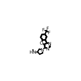 CN[C@@H]1CCN(c2ncnc3c2oc2ccc(C(F)(F)F)cc23)C1